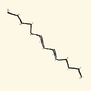 [CH2]CCC/C=C/C=C/CCCCC